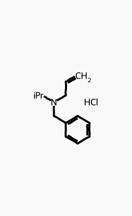 C=CCN(Cc1ccccc1)C(C)C.Cl